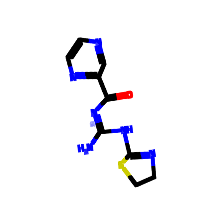 N/C(=N/C(=O)c1cnccn1)NC1=NCCS1